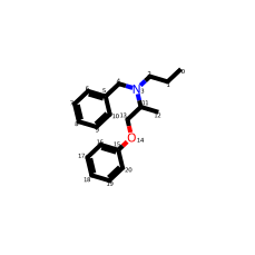 CCCN(Cc1ccccc1)C(C)COc1ccccc1